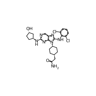 NC(=O)C[C@H]1CC[C@@H](n2c(Nc3c(Cl)cccc3Cl)nc3cnc(N[C@H]4CC[C@H](O)C4)nc32)CC1